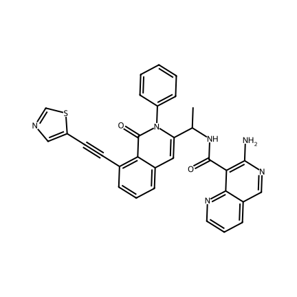 CC(NC(=O)c1c(N)ncc2cccnc12)c1cc2cccc(C#Cc3cncs3)c2c(=O)n1-c1ccccc1